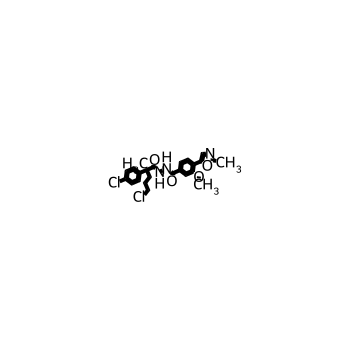 COc1cc(C(=O)NNC(=O)C(C)(CCCCl)c2ccc(Cl)cc2)ccc1-c1cnc(C)o1